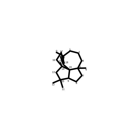 CC1CCCC2(C)CCC3C(C)(C)CC4(C)CC=C1C324